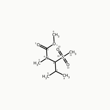 COC(=O)N(C)C(C(C)C)S(C)(=O)=O